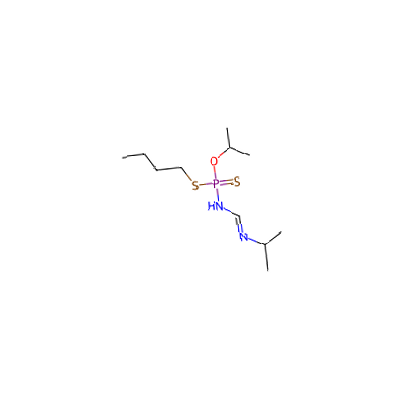 CCCCSP(=S)(NC=NC(C)C)OC(C)C